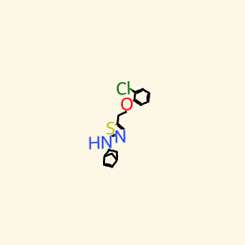 Clc1ccccc1OCCc1cnc(NC2CC3C=CC2C3)s1